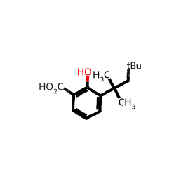 CC(C)(C)CC(C)(C)c1cccc(C(=O)O)c1O